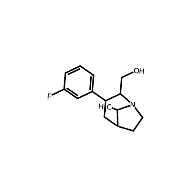 CC1C2CCN1C(CO)C(c1cccc(F)c1)C2